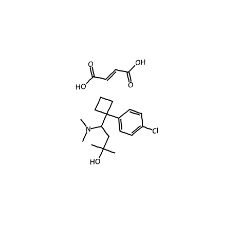 CN(C)C(CC(C)(C)O)C1(c2ccc(Cl)cc2)CCC1.O=C(O)C=CC(=O)O